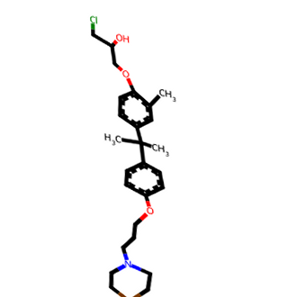 Cc1cc(C(C)(C)c2ccc(OCCCN3CCSCC3)cc2)ccc1OCC(O)CCl